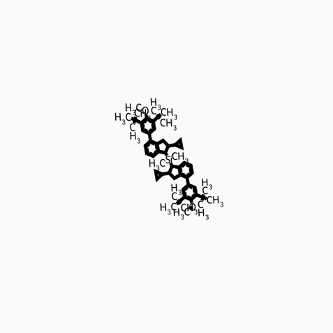 COc1c(C(C)(C)C)cc(-c2cccc3c2CC(C2CC2)C3[Si](C)(C)C2c3cccc(-c4cc(C(C)(C)C)c(OC)c(C(C)(C)C)c4)c3CC2C2CC2)cc1C(C)(C)C